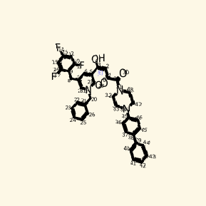 O=C(/C=C(/O)c1cc(Cc2c(F)cc(F)cc2F)cn(Cc2ccccc2)c1=O)C(=O)N1CCN(c2ccc(-c3ccccc3)cc2)CC1